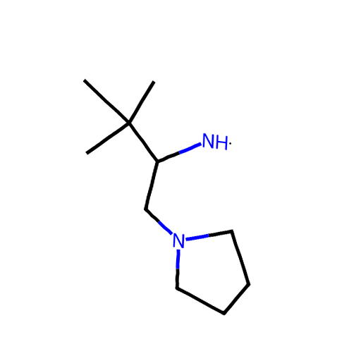 CC(C)(C)C([NH])CN1CCCC1